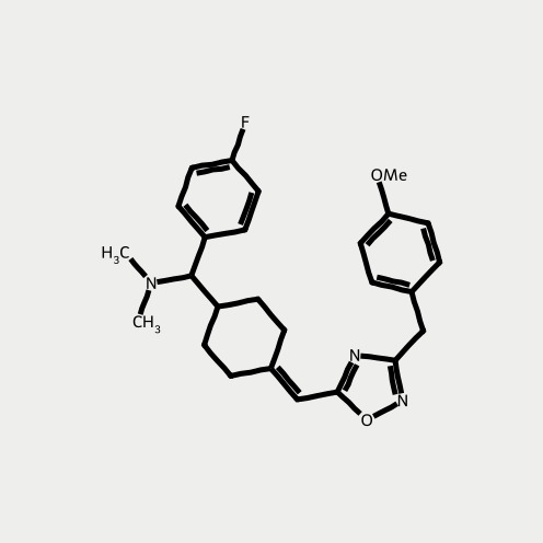 COc1ccc(Cc2noc(C=C3CCC(C(c4ccc(F)cc4)N(C)C)CC3)n2)cc1